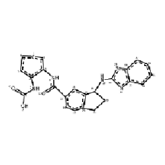 O=C(O)Nc1ccccc1NC(=O)c1ccc2c(c1)C(Nc1nc3ccccc3s1)CC2